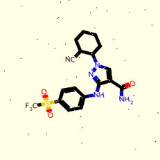 N#CC1CCCCC1n1cc(C(N)=O)c(Nc2ccc(S(=O)(=O)C(F)(F)F)cc2)n1